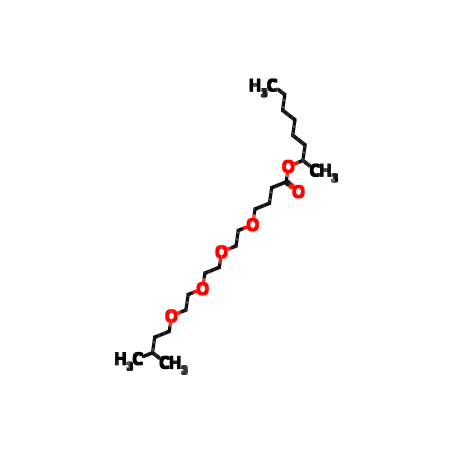 CCCCCCC(C)OC(=O)CCCOCCOCCOCCOCCC(C)C